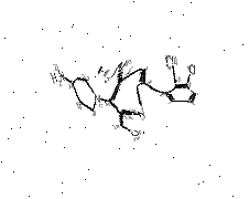 Nc1cc(-c2cccc(Cl)c2Cl)nc(CO)c1N1CCC(N)C1